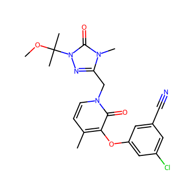 COC(C)(C)n1nc(Cn2ccc(C)c(Oc3cc(Cl)cc(C#N)c3)c2=O)n(C)c1=O